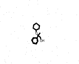 CC(CO)(OC1CCCCC1)c1ccccc1